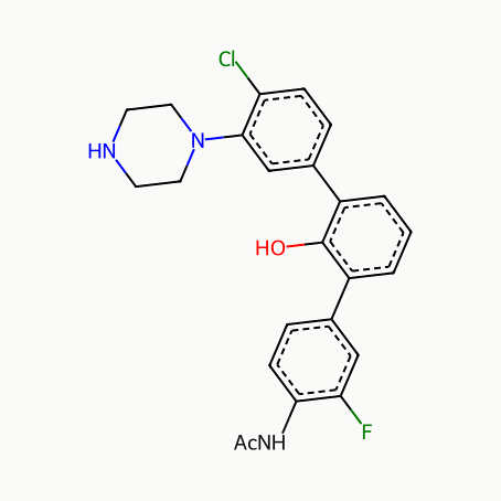 CC(=O)Nc1ccc(-c2cccc(-c3ccc(Cl)c(N4CCNCC4)c3)c2O)cc1F